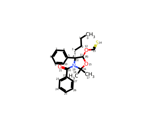 CCCC[C@]1(c2ccccc2)[C@@H](OC=S)OC(C)(C)N1C(=O)c1ccccc1